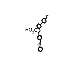 O=C(O)c1ccc(-c2ccc(F)cc2)cc1/C=C/c1ccc(COc2ccccc2)cc1